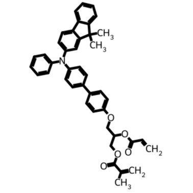 C=CC(=O)OC(COC(=O)C(=C)C)COc1ccc(-c2ccc(N(c3ccccc3)c3ccc4c(c3)C(C)(C)c3ccccc3-4)cc2)cc1